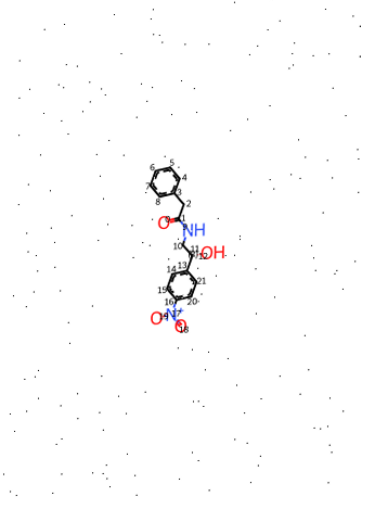 O=C(Cc1ccccc1)NC[C@H](O)c1ccc([N+](=O)[O-])cc1